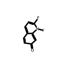 O=c1ccc2ccc(F)n(F)c-2c1